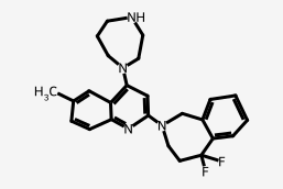 Cc1ccc2nc(N3CCC(F)(F)c4ccccc4C3)cc(N3CCCNCC3)c2c1